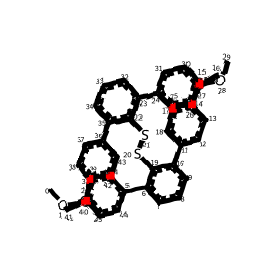 COc1ccc(-c2cccc(-c3ccc(OC)cc3)c2SSc2c(-c3ccc(OC)cc3)cccc2-c2ccc(OC)cc2)cc1